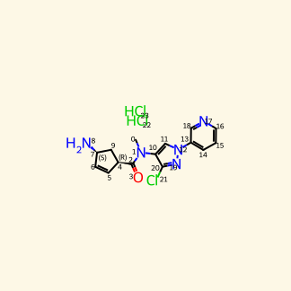 CN(C(=O)[C@H]1C=C[C@@H](N)C1)c1cn(-c2cccnc2)nc1Cl.Cl.Cl